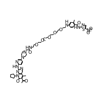 CC(=O)c1c(C)c2cnc(Nc3ccc(N4CCN(CC(=O)NCCOCCOCCOCCOCCOCCNc5ccc(C(=O)Nc6ncc([N+](=O)[O-])s6)c(C)c5)CC4)cn3)nc2n(C2CCCC2)c1=O